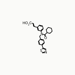 O=C(O)C=Cc1cccc(N(Cc2ccc(-c3cncs3)cc2)C(=O)C2CCCCC2)c1